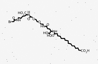 O=C(O)CCCCCCCCCCCCCCC(=O)NC(CCC(=O)NCCOCCOCC(=O)NC(CCCCNC(=O)CBr)C(=O)O)C(O)O